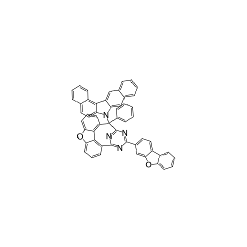 c1ccc(C2(n3c4cc5ccccc5cc4c4c5ccccc5ccc43)c3nc(-c4ccc5c(c4)oc4ccccc45)nc(n3)-c3cccc4oc5cccc2c5c34)cc1